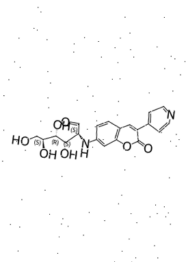 O=C[C@@H](Nc1ccc2cc(-c3ccncc3)c(=O)oc2c1)[C@H](O)[C@@H](O)[C@@H](O)CO